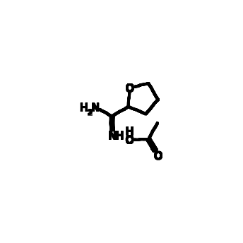 CC(=O)O.N=C(N)C1CCCO1